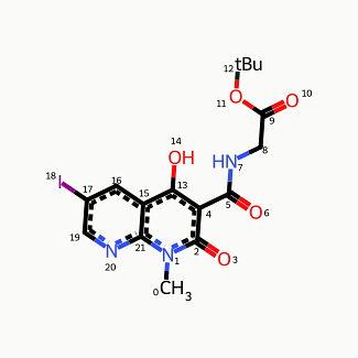 Cn1c(=O)c(C(=O)NCC(=O)OC(C)(C)C)c(O)c2cc(I)cnc21